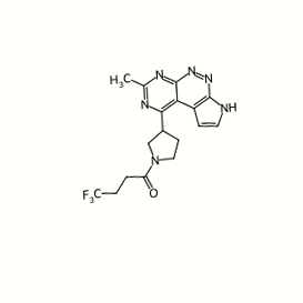 Cc1nc(C2CCN(C(=O)CCC(F)(F)F)C2)c2c(nnc3[nH]ccc32)n1